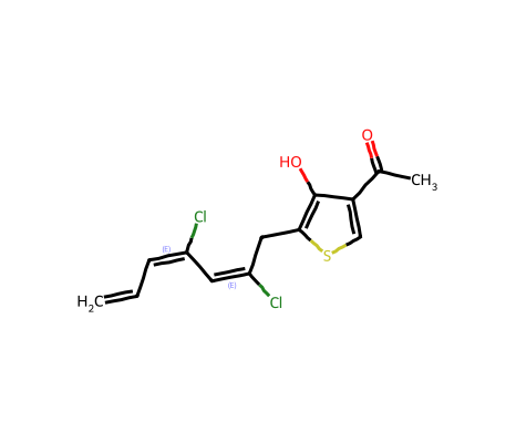 C=C/C=C(Cl)\C=C(\Cl)Cc1scc(C(C)=O)c1O